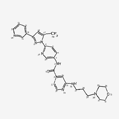 O=C(Nc1ccc(-n2nc(-c3cccnc3)cc2C(F)(F)F)nc1)c1ccnc(NCCCN2CCOCC2)c1